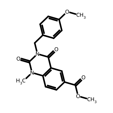 COC(=O)c1ccc2c(c1)c(=O)n(Cc1ccc(OC)cc1)c(=O)n2C